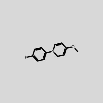 COC1=CCN(c2ccc(F)cc2)C=[C]1